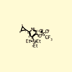 CC[Si](CC)(CC)c1cc(C2CC2)ncc1OS(=O)(=O)C(F)(F)F